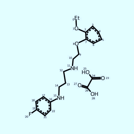 CCOc1ccccc1OCCNCCCNc1ccc(F)cc1.O=C(O)C(=O)O